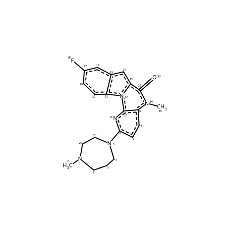 CN1CCCN(c2ccc3c(n2)n2c(cc4cc(F)ccc42)c(=O)n3C)CC1